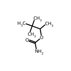 CC(OC(N)=O)C(C)(C)C